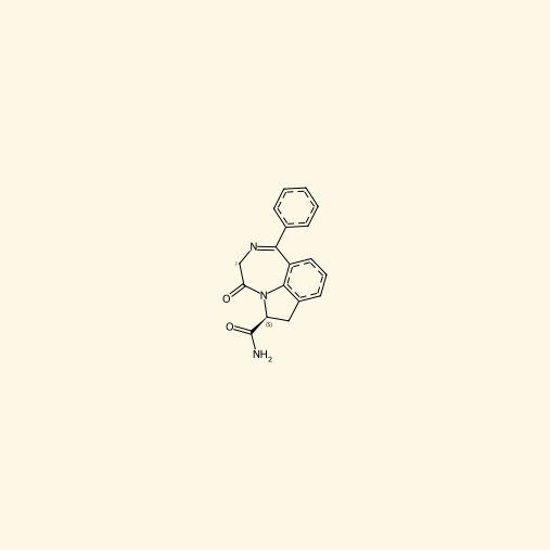 NC(=O)[C@@H]1Cc2cccc3c2N1C(=O)[C]N=C3c1ccccc1